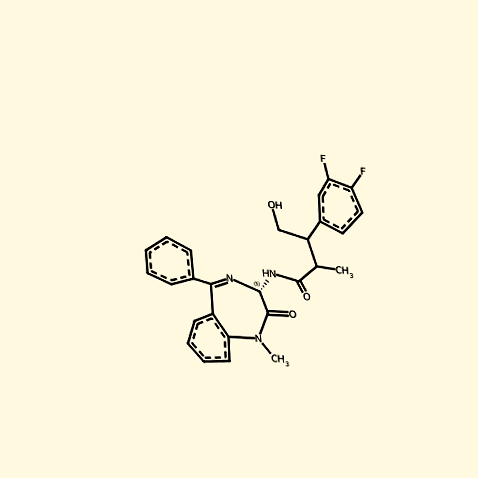 CC(C(=O)N[C@H]1N=C(c2ccccc2)c2ccccc2N(C)C1=O)C(CO)c1ccc(F)c(F)c1